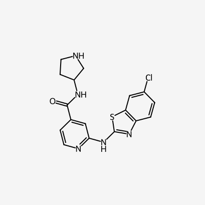 O=C(NC1CCNC1)c1ccnc(Nc2nc3ccc(Cl)cc3s2)c1